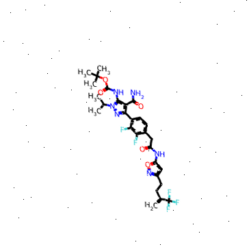 C=C(CCc1cc(NC(=O)Cc2ccc(-c3nn(C(C)C)c(NC(=O)OC(C)(C)C)c3C(N)=O)c(F)c2F)on1)C(F)(F)F